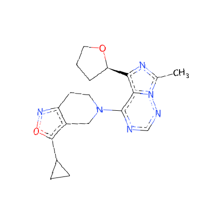 Cc1nc([C@H]2CCCO2)c2c(N3CCc4noc(C5CC5)c4C3)ncnn12